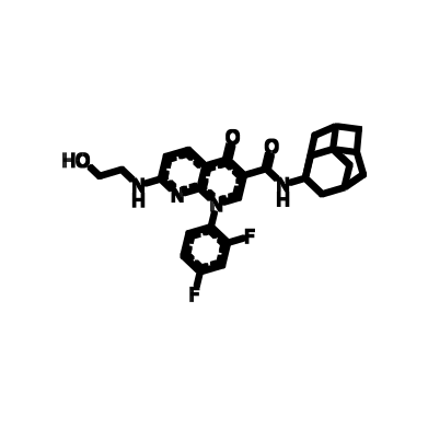 O=C(NC12CC3CC4CC(C1)C4(C3)C2)c1cn(-c2ccc(F)cc2F)c2nc(NCCO)ccc2c1=O